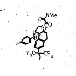 CNC(=O)C(=O)N1CC[C@]2(S(=O)(=O)c3ccc(F)cc3)c3ccc(C(F)(C(F)(F)F)C(F)(F)F)cc3CC[C@H]12